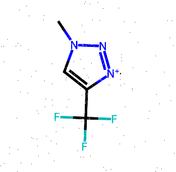 CN1C=C(C(F)(F)F)[N+]=N1